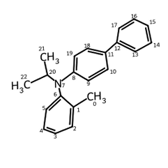 Cc1ccccc1N(c1ccc(-c2ccccc2)cc1)C(C)C